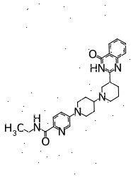 CCNC(=O)c1ccc(N2CCC(N3CCCC(c4nc5ccccc5c(=O)[nH]4)C3)CC2)cn1